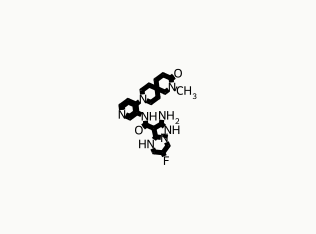 CN1CC2(CCC1=O)CCN(c1ccncc1NC(=O)C1C(N)NN3CC(F)CNC13)CC2